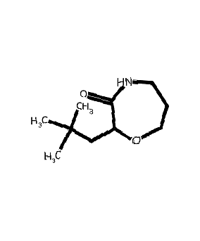 CC(C)(C)CC1OCCCNC1=O